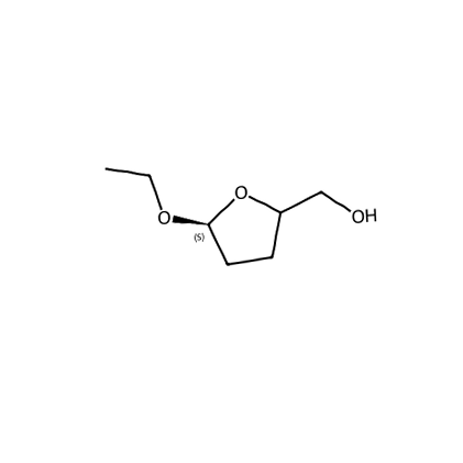 CCO[C@@H]1CCC(CO)O1